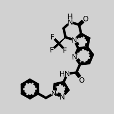 O=C(Nc1cnn(Cc2ccccc2)c1)c1ccc2cc3n(c2n1)[C@@H](C(F)(F)F)CNC3=O